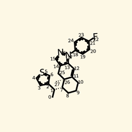 CC(c1ccsc1)[C@H]1CCCC2=Cc3c(cnn3-c3ccc(F)cc3)C[C@@]21C